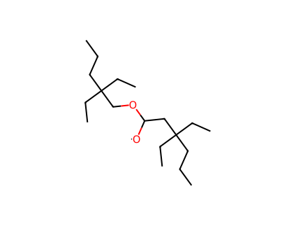 CCCC(CC)(CC)COC([O])CC(CC)(CC)CCC